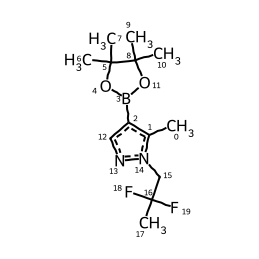 Cc1c(B2OC(C)(C)C(C)(C)O2)cnn1CC(C)(F)F